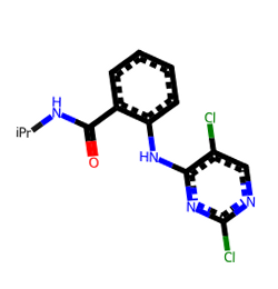 CC(C)NC(=O)c1ccccc1Nc1nc(Cl)ncc1Cl